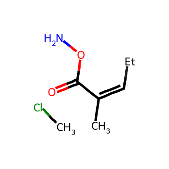 CCC=C(C)C(=O)ON.CCl